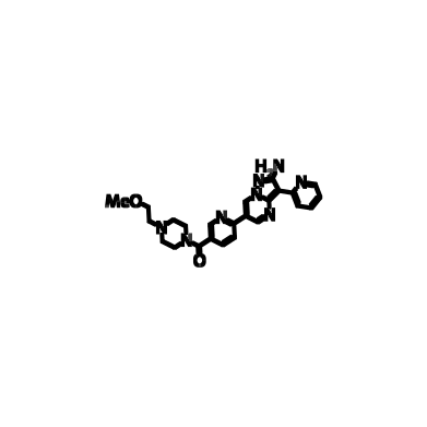 COCCN1CCN(C(=O)c2ccc(-c3cnc4c(-c5ccccn5)c(N)nn4c3)nc2)CC1